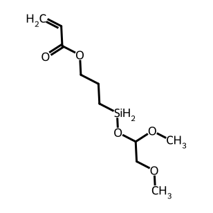 C=CC(=O)OCCC[SiH2]OC(COC)OC